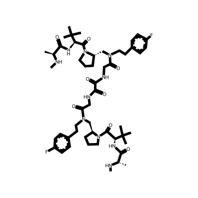 CN[C@@H](C)C(=O)N[C@H](C(=O)N1CCC[C@H]1CN(CCc1ccc(F)cc1)C(=O)CNC(=O)C(=O)NCC(=O)N(CCc1ccc(F)cc1)C[C@@H]1CCCN1C(=O)[C@@H](NC(=O)[C@H](C)NC)C(C)(C)C)C(C)(C)C